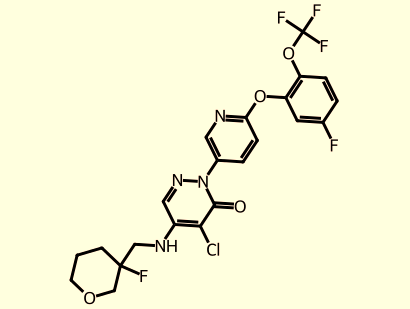 O=c1c(Cl)c(NCC2(F)CCCOC2)cnn1-c1ccc(Oc2cc(F)ccc2OC(F)(F)F)nc1